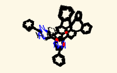 CC1(C)c2ccccc2-c2cc3c(cc21)-c1ccccc1C31c2ccccc2-c2ccccc2-c2ccc(-c3cc(-c4cnc(-c5ccccc5)nc4)nc(-c4ccccc4)n3)cc21